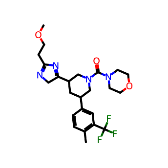 COCCC1=NCC(C2CC(c3ccc(C)c(C(F)(F)F)c3)CN(C(=O)N3CCOCC3)C2)=N1